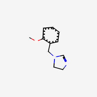 CCOc1ccccc1CN1C=NCC1